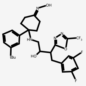 CC(C)(C)c1cccc(C2(NCC(O)C(Cc3cc(F)cc(F)c3)c3nnc(C(F)(F)F)o3)CCC(=NO)CC2)c1